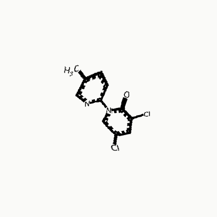 Cc1ccc(-n2cc(Cl)cc(Cl)c2=O)nc1